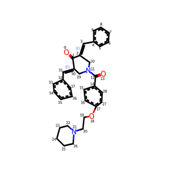 O=C1/C(=C/c2ccccc2)CN(C(=O)c2ccc(OCCN3CCCCC3)cc2)C/C1=C\c1ccccc1